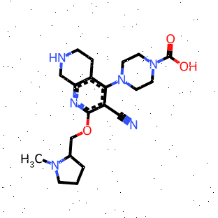 CN1CCCC1COc1nc2c(c(N3CCN(C(=O)O)CC3)c1C#N)CCNC2